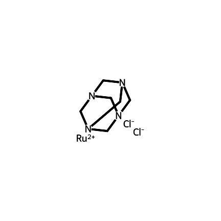 C1N2CN3CN1CN(C2)C3.[Cl-].[Cl-].[Ru+2]